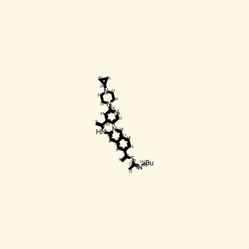 C=C(Nc1cc2cc(C(=C)S/C(C)=N\[C@H](C)CC)ccc2cn1)c1ccnc(N2CCN(C3CC3)CC2)c1